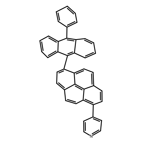 c1ccc(-c2c3ccccc3c(-c3ccc4ccc5c(-c6ccncc6)ccc6ccc3c4c65)c3ccccc23)cc1